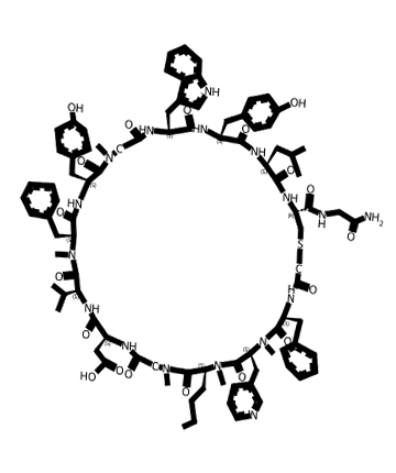 CCCC[C@H]1C(=O)N(C)CC(=O)N[C@@H](CC(=O)O)C(=O)N[C@@H](C(C)C)C(=O)N(C)[C@@H](Cc2ccccc2)C(=O)N[C@@H](Cc2ccc(O)cc2)C(=O)N(C)CC(=O)N[C@@H](Cc2c[nH]c3ccccc23)C(=O)N[C@@H](Cc2ccc(O)cc2)C(=O)N[C@@H](CC(C)C)C(=O)N[C@H](C(=O)NCC(N)=O)CSCC(=O)N[C@@H](Cc2ccccc2)C(=O)N(C)[C@@H](Cc2cccnc2)C(=O)N1C